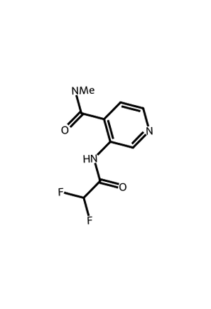 CNC(=O)c1ccncc1NC(=O)C(F)F